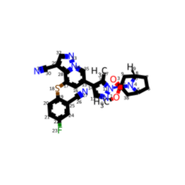 COC(=O)N1C2CC[C@H]1C[C@H](n1ncc(-c3cc(Sc4ccc(F)cc4C#N)c4c(C#N)cnn4c3)c1C)C2